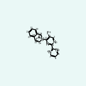 Fc1cnc(-c2ncccn2)nc1N1CC2CCC1c1ccccc12